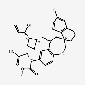 C=CC(O)[C@@H]1CC[C@H]1CN1C[C@@]2(CCCc3cc(Cl)ccc32)COc2ccc([C@@H](CC(=O)O)C(=O)OC)cc21